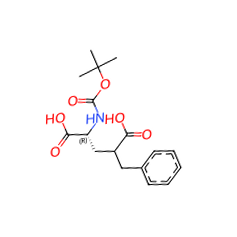 CC(C)(C)OC(=O)N[C@H](CC(Cc1ccccc1)C(=O)O)C(=O)O